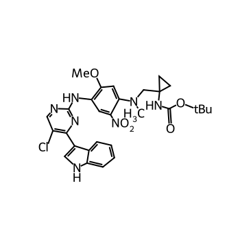 COc1cc(N(C)CC2(NC(=O)OC(C)(C)C)CC2)c([N+](=O)[O-])cc1Nc1ncc(Cl)c(-c2c[nH]c3ccccc23)n1